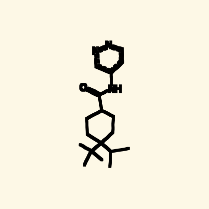 CC(C)C1(C(C)(C)C)CCC(C(=O)Nc2ccnnc2)CC1